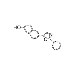 Oc1ccc2cc(-c3cnc(-c4ccccc4)o3)ccc2c1